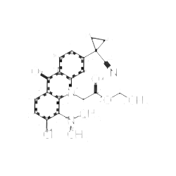 CCOC(=O)Cn1c2cc(C3(C#N)CC3)ccc2c(=O)c2ccc(Cl)c(N(C)C)c21